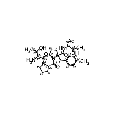 CC(=O)[C@@H](NC(=O)[C@@]1(Cc2ccc(C)cc2)CCCN1C(=O)[C@@H]1CCCN1C(=O)[C@@H](N)[C@@H](C)O)[C@@H](C)O